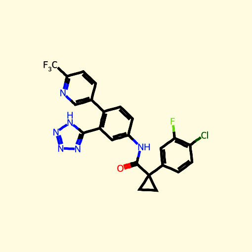 O=C(Nc1ccc(-c2ccc(C(F)(F)F)nc2)c(-c2nnn[nH]2)c1)C1(c2ccc(Cl)c(F)c2)CC1